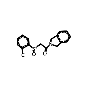 O=C(C[S+]([O-])c1ccccc1Cl)N1Cc2ccccc2C1